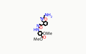 COC(=O)c1ccc(Nc2ncc(-c3ccccc3CN(C)C(=O)CN)o2)cc1OC